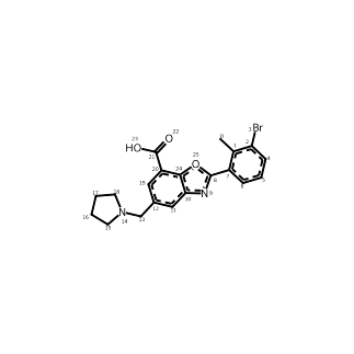 Cc1c(Br)cccc1-c1nc2cc(CN3CCCC3)cc(C(=O)O)c2o1